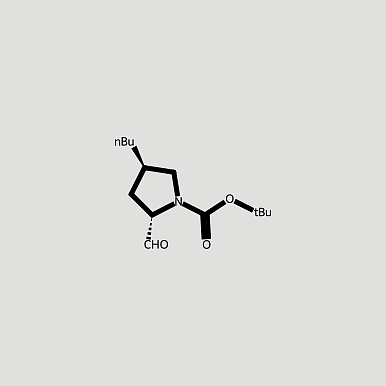 CCCC[C@@H]1C[C@@H](C=O)N(C(=O)OC(C)(C)C)C1